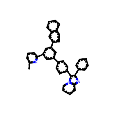 Cc1cccc(-c2cc(-c3ccc(-c4c(-c5ccccc5)nc5ccccn45)cc3)cc(-c3ccc4ccccc4c3)c2)n1